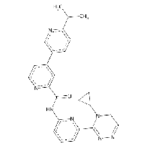 CC(C)c1ccc(-c2ccnc(C(=O)Nc3cccc(C4=NN=CCN4C4CC4)n3)c2)cn1